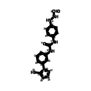 O=CNNc1ccc(NC(=O)Nc2cccc(-n3nnnc3S)c2)cc1